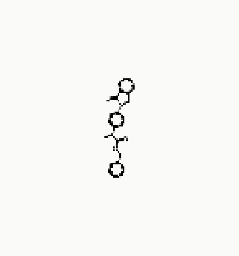 CC(C(=O)OCc1ccccc1)c1ccc(N2Cc3ccccc3C2=O)cc1